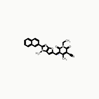 CCN1C(=O)C(C#N)=C(C)/C(=C/c2cc3c(nc(-c4ccc5ccccc5c4)n3C)o2)C1=O